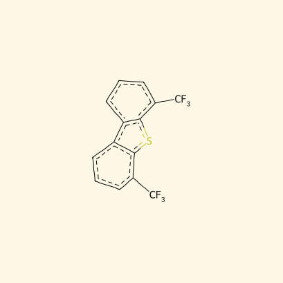 FC(F)(F)c1cccc2c1sc1c(C(F)(F)F)cccc12